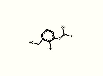 [2H]c1c(CO)cccc1OB(O)O